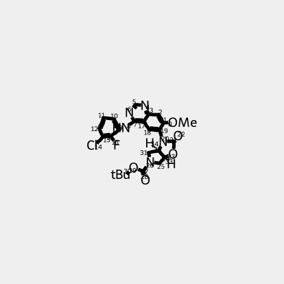 COc1cc2ncnc(Nc3cccc(Cl)c3F)c2cc1N1C(=O)O[C@H]2CN(C(=O)OC(C)(C)C)C[C@H]21